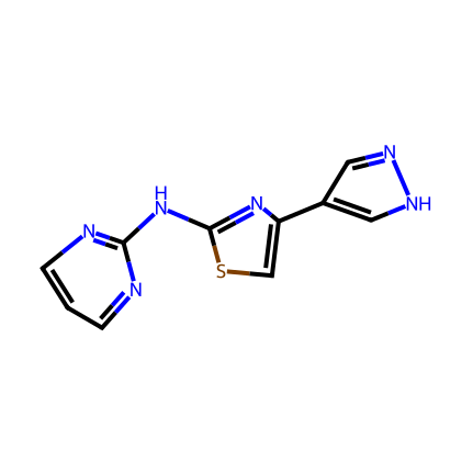 c1cnc(Nc2nc(-c3cn[nH]c3)cs2)nc1